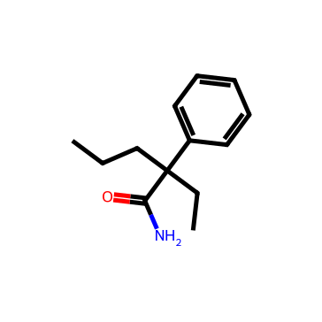 CCCC(CC)(C(N)=O)c1ccccc1